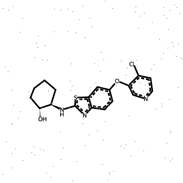 O[C@@H]1CCCC[C@H]1Nc1nc2ccc(Oc3cnccc3Cl)cc2s1